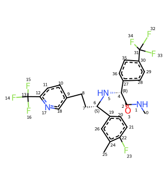 CNC(=O)[C@H](N[C@@H](CCc1ccc(C(F)(F)F)nc1)c1ccc(F)c(C)c1)c1ccc(C(F)(F)F)cc1